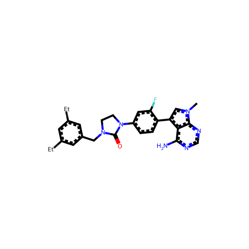 CCc1cc(CC)cc(CN2CCN(c3ccc(-c4cn(C)c5ncnc(N)c45)c(F)c3)C2=O)c1